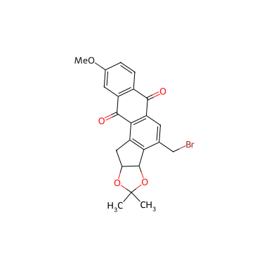 COc1ccc2c(c1)C(=O)c1c(cc(CBr)c3c1CC1OC(C)(C)OC31)C2=O